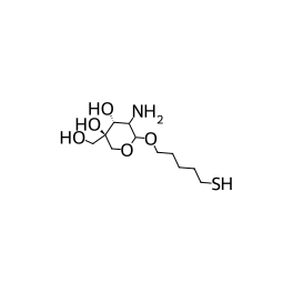 NC1C(OCCCCCS)OC[C@](O)(CO)[C@@H]1O